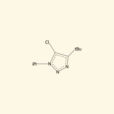 CC(C)n1nnc(C(C)(C)C)c1Cl